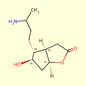 CC(N)CC[C@@H]1[C@H]2CC(=O)O[C@H]2C[C@H]1O